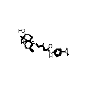 C=C1CC[C@@H]2C(C)(C)[C@H](O)CC[C@@]2(C)[C@@H]1CC/C(C)=C/C(=O)Nc1ccc(N(C)C)cc1